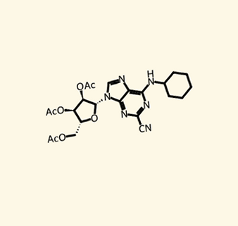 CC(=O)OC[C@H]1O[C@@H](n2cnc3c(NC4CCCCC4)nc(C#N)nc32)[C@H](OC(C)=O)[C@@H]1OC(C)=O